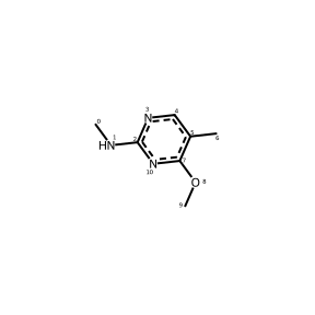 CNc1ncc(C)c(OC)n1